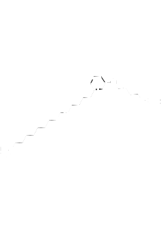 CCCCCCCCCCCCCCCc1cccc(OCCCCCC)c1